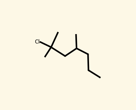 CCCC(C)CC(C)(C)Cl